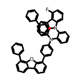 Fc1cccc2c1c1ccccc1n2-c1ccccc1N(c1ccc(-c2ccccc2)cc1)c1ccc(-c2cccc3c2oc2c(-c4ccccc4)cccc23)cc1